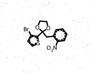 O=[N+]([O-])c1ccccc1CC1(c2sccc2Br)OCCO1